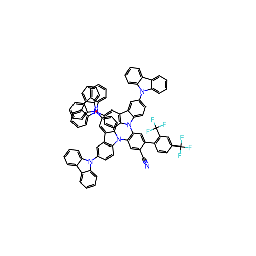 N#Cc1cc(-n2c3ccc(-n4c5ccccc5c5ccccc54)cc3c3cc(-n4c5ccccc5c5ccccc54)ccc32)c(-n2c3ccc(-n4c5ccccc5c5ccccc54)cc3c3cc(-n4c5ccccc5c5ccccc54)ccc32)cc1-c1ccc(C(F)(F)F)cc1C(F)(F)F